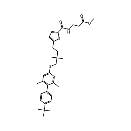 COC(=O)CCNC(=O)c1ccc(CCC(C)(C)CSc2cc(C)c(-c3ccc(C(C)(C)C)cc3)c(C)c2)s1